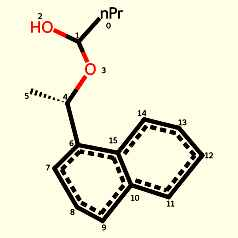 CCCC(O)O[C@@H](C)c1cccc2ccccc12